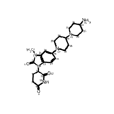 Cn1c(=O)n(C2CCC(=O)NC2=O)c2ccc(N3CCC(N4CCC(N)CC4)CC3)cc21